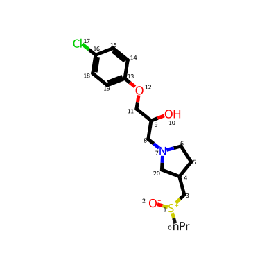 CCC[S+]([O-])CC1CCN(CC(O)COc2ccc(Cl)cc2)C1